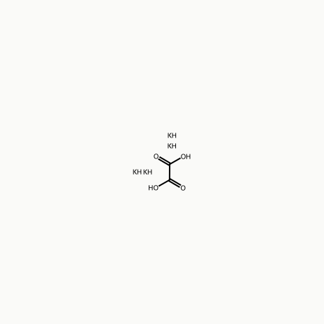 O=C(O)C(=O)O.[KH].[KH].[KH].[KH]